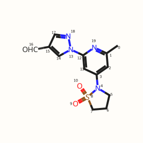 Cc1cc(N2CCCS2(=O)=O)cc(-n2cc(C=O)cn2)n1